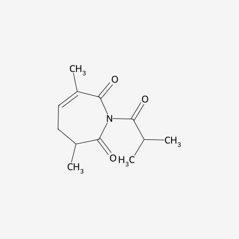 CC1=CCC(C)C(=O)N(C(=O)C(C)C)C1=O